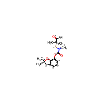 CC(C)C(=O)C(C)(C)SN(C)C(=O)Oc1cccc2c1OC(C)(C)C2